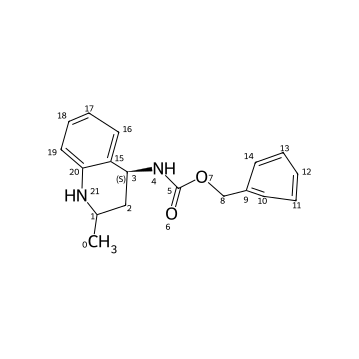 CC1C[C@H](NC(=O)OCc2ccccc2)c2ccccc2N1